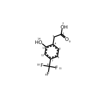 O=C(O)Cc1ccc(C(F)(F)F)cc1O